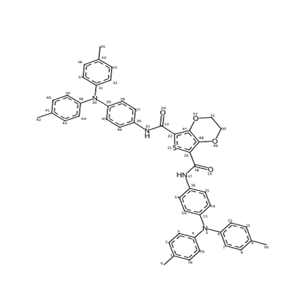 Cc1ccc(N(c2ccc(C)cc2)c2ccc(NC(=O)c3sc(C(=O)Nc4ccc(N(c5ccc(C)cc5)c5ccc(C)cc5)cc4)c4c3OCCO4)cc2)cc1